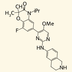 COc1cnc(Nc2ccc3c(c2)CCNC3)nc1-c1cc(F)c2c(c1)N(C(C)C)C(=O)C(C)(C)O2